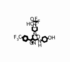 CN(Cc1c(C(=O)NC2CCC(O)CC2)noc1-c1ccc(C(F)(F)F)cc1)C1CCOCC1.O=C(O)C(F)(F)F